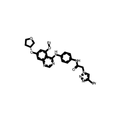 CCOc1cc(O[C@@H]2CCOC2)cc2ncnc(Nc3ccc(NC(=O)Cn4cc(C(C)C)nn4)cc3)c12